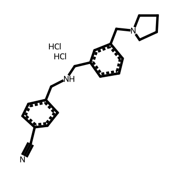 Cl.Cl.N#Cc1ccc(CNCc2cccc(CN3CCCC3)c2)cc1